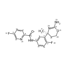 C[C@@]1(c2cc(NC(=O)c3ccc(F)cn3)ccc2F)CCOC(N)=N1